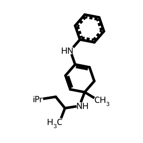 CC(C)CC(C)NC1(C)C=CC(Nc2ccccc2)=CC1